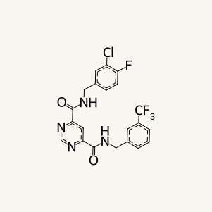 O=C(NCc1cccc(C(F)(F)F)c1)c1cc(C(=O)NCc2ccc(F)c(Cl)c2)ncn1